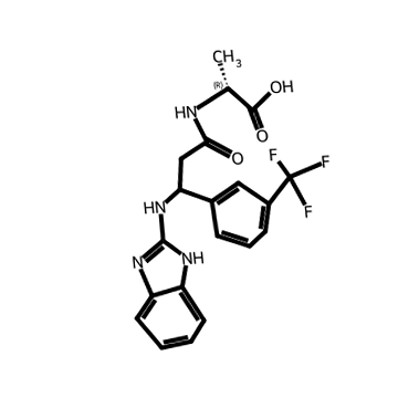 C[C@@H](NC(=O)CC(Nc1nc2ccccc2[nH]1)c1cccc(C(F)(F)F)c1)C(=O)O